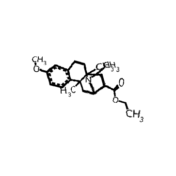 CCOC(=O)C1CC2(C)C3Cc4cc(OC)ccc4C2(C)CC1N3C